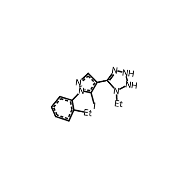 CCc1ccccc1-n1ncc(C2=NNNN2CC)c1I